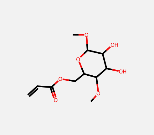 C=CC(=O)OCC1OC(OC)C(O)C(O)C1OC